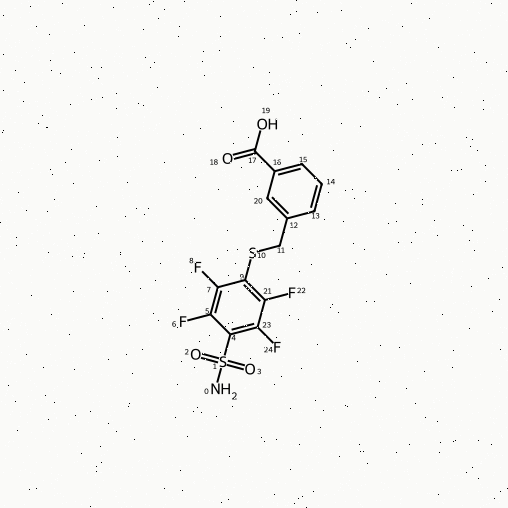 NS(=O)(=O)c1c(F)c(F)c(SCc2cccc(C(=O)O)c2)c(F)c1F